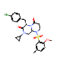 COc1ccc(C)cc1S(=O)(=O)N1CCC(=O)N2C(Cc3ccc(Cl)cc3)C(=O)N(C3CC3)CC21